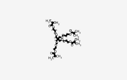 C=C(C)C(=O)OCCOOCC(COOCCOC(=O)C(=C)C)(COOCCOC(=O)C(=C)C)COOCCOC(=O)C(=C)C